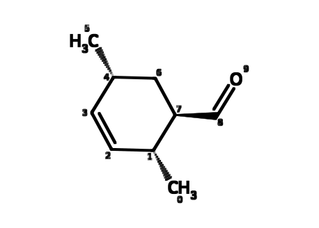 C[C@@H]1C=C[C@H](C)C[C@H]1C=O